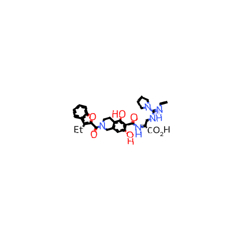 C=C/N=C(/NC[C@H](NC(=O)c1c(O)cc2c(c1O)CCN(C(=O)c1oc3ccccc3c1CC)C2)C(=O)O)N1CCCC1